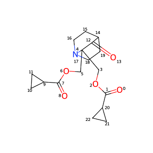 O=C(OCC1(COC(=O)C2CC2)C(=O)C2CCN1CC2)C1CC1